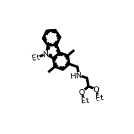 CCOC(CNCc1cc(C)c2c(c1C)c1ccccc1n2CC)OCC